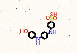 O=S(=O)(O)c1ccc(Nc2ccc(Nc3ccc(O)cc3)cc2)cc1